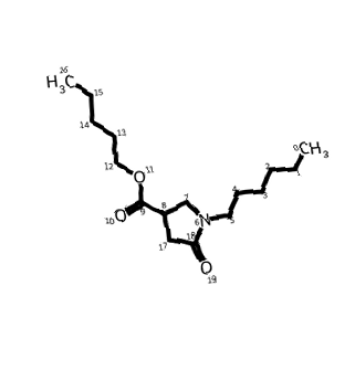 CCCCCCN1CC(C(=O)OCCCCC)CC1=O